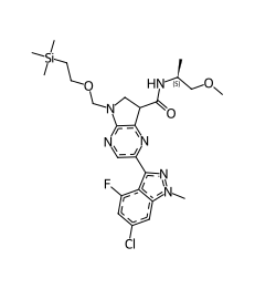 COC[C@H](C)NC(=O)C1CN(COCC[Si](C)(C)C)c2ncc(-c3nn(C)c4cc(Cl)cc(F)c34)nc21